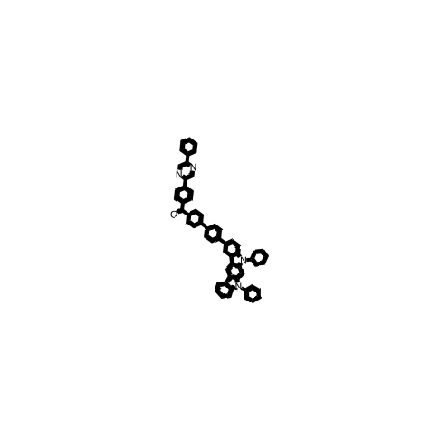 O=C(c1ccc(-c2ccc(-c3ccc4c(c3)c3cc5c6ccccc6n(-c6ccccc6)c5cc3n4-c3ccccc3)cc2)cc1)c1ccc(-c2cnc(-c3ccccc3)cn2)cc1